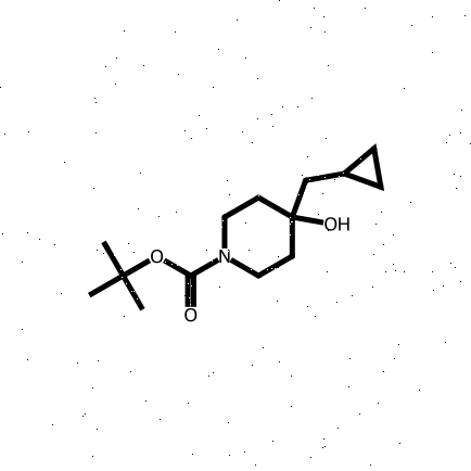 CC(C)(C)OC(=O)N1CCC(O)(CC2CC2)CC1